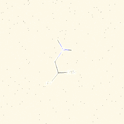 CCCC(CN(C)C)OC